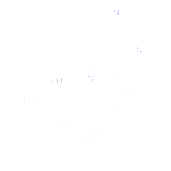 CC(C)(C)[C@H](NC(=O)c1cnccn1)C(=O)O